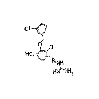 Cl.N=C(N)NN=Cc1cccc(OCc2cccc(Cl)c2)c1Cl